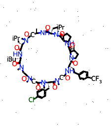 CCC(C)[C@@H]1NC(=O)[C@H](CC(C)C)N(C)C(=O)C[C@@H](C)NC(=O)[C@H](CC(C)C)N(C)C(=O)C2(CCCC2)NC(=O)[C@@H]2CCCN2C(=O)[C@H](CCc2ccc(C(F)(F)F)cc2)NC(=O)CN(C)C(=O)[C@H](Cc2ccc(Cl)cc2)N(C)C(=O)CN(C)C(=O)CN(C)C1=O